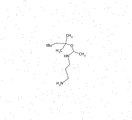 CC(NCCCN)OC(C)(C)CC(C)(C)C